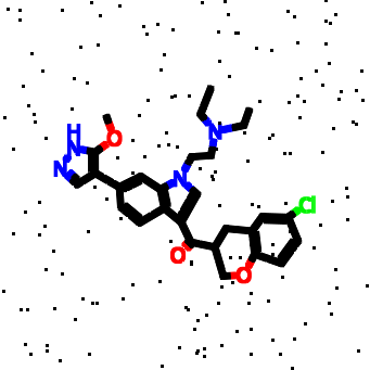 CCN(CC)CCn1cc(C(=O)C2COc3ccc(Cl)cc3C2)c2ccc(-c3cn[nH]c3OC)cc21